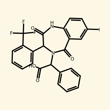 O=C(O)C(c1ccccc1)N1C(=O)c2cc(I)ccc2NC(=O)C1c1ccccc1C(F)(F)F